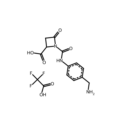 NCc1ccc(NC(=O)N2C(=O)CC2C(=O)O)cc1.O=C(O)C(F)(F)F